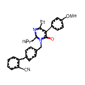 CCCc1nc(CC)c(-c2ccc(OC)cc2)c(=O)n1Cc1ccc(-c2ccccc2C#N)cc1